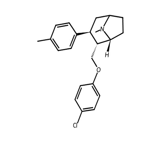 Cc1ccc([C@H]2CC3CC[C@H]([C@@H]2COc2ccc(Cl)cc2)N3C)cc1